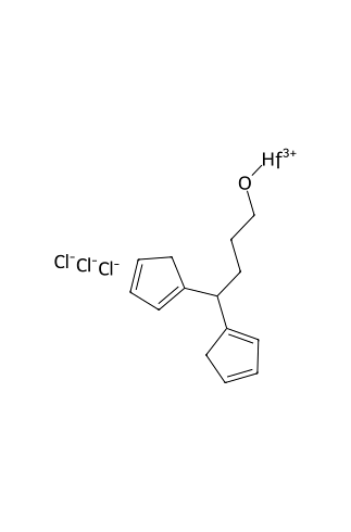 [Cl-].[Cl-].[Cl-].[Hf+3][O]CCCC(C1=CC=CC1)C1=CC=CC1